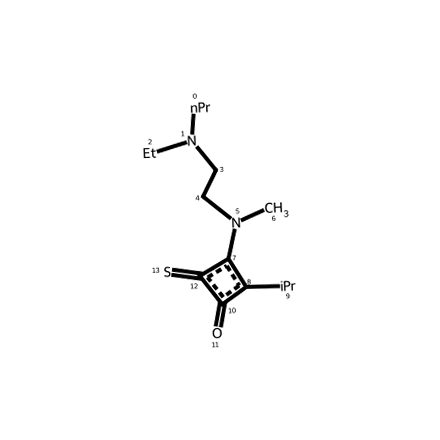 CCCN(CC)CCN(C)c1c(C(C)C)c(=O)c1=S